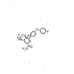 CCOC(=O)C1(Nc2cc(C(N)=O)nc(-c3ccc(Oc4ccc(F)cc4)cc3)n2)CC1